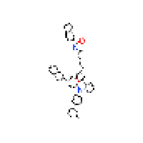 C=C/C=C(\C=C/C)c1ccc(N(C2=CC=C=C(c3ccc4ccccc4c3)C=C2)c2ccccc2-c2cccc(CCC/C=C(C)/N=C(\OC)c3ccc4ccccc4c3)c2)cc1